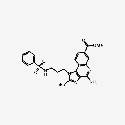 CCCCc1nc2c(N)nc3cc(C(=O)OC)ccc3c2n1CCCNS(=O)(=O)c1ccccc1